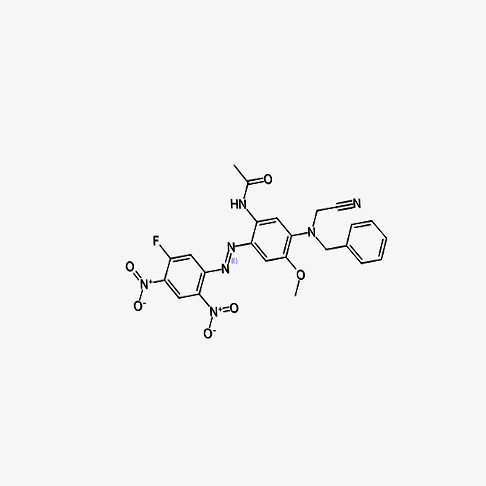 COc1cc(/N=N/c2cc(F)c([N+](=O)[O-])cc2[N+](=O)[O-])c(NC(C)=O)cc1N(CC#N)Cc1ccccc1